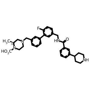 C[C@H]1CN(Cc2cccc(-c3cc(CNC(=O)c4cccc(C5CCNCC5)c4)ccc3F)c2)CCN1C(=O)O